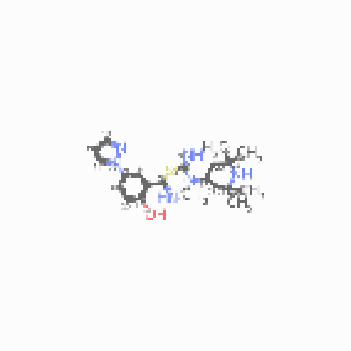 CN(C(=N)SC(=N)c1cc(-n2cccn2)ccc1O)C1CC(C)(C)NC(C)(C)C1